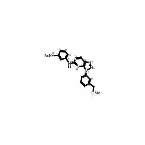 COCc1cccc(-n2nnc3cnc(Nc4cccc(NC(C)=O)c4)nc32)c1